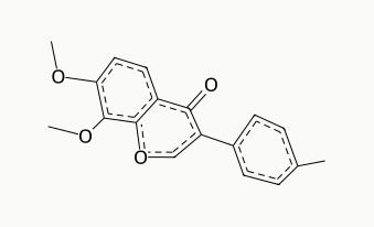 COc1ccc2c(=O)c(-c3ccc(C)cc3)coc2c1OC